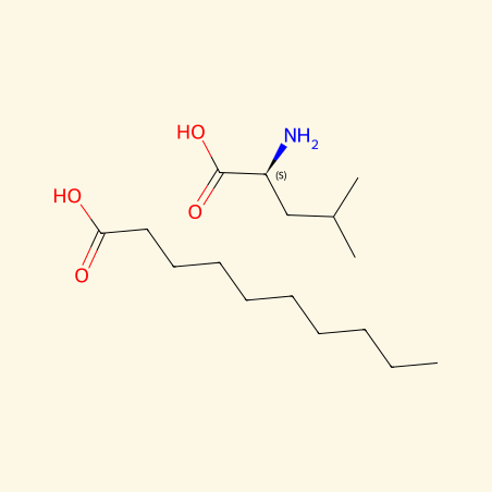 CC(C)C[C@H](N)C(=O)O.CCCCCCCCCC(=O)O